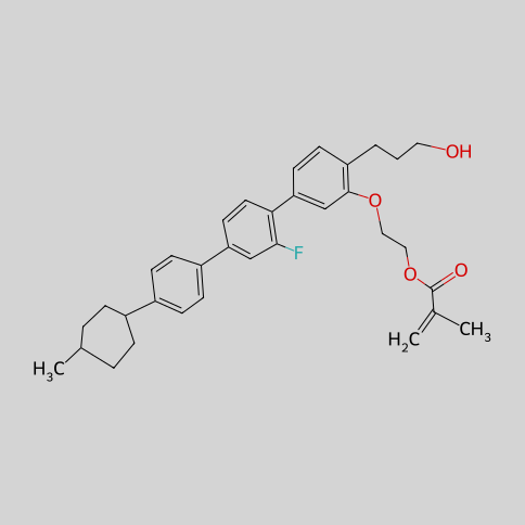 C=C(C)C(=O)OCCOc1cc(-c2ccc(-c3ccc(C4CCC(C)CC4)cc3)cc2F)ccc1CCCO